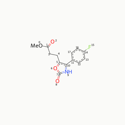 COC(=O)CCc1oc(=O)[nH]c1-c1ccc(F)cc1